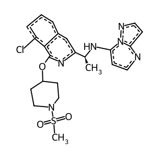 C[C@H](Nc1ccnc2ccnn12)c1cc2cccc(Cl)c2c(OC2CCN(S(C)(=O)=O)CC2)n1